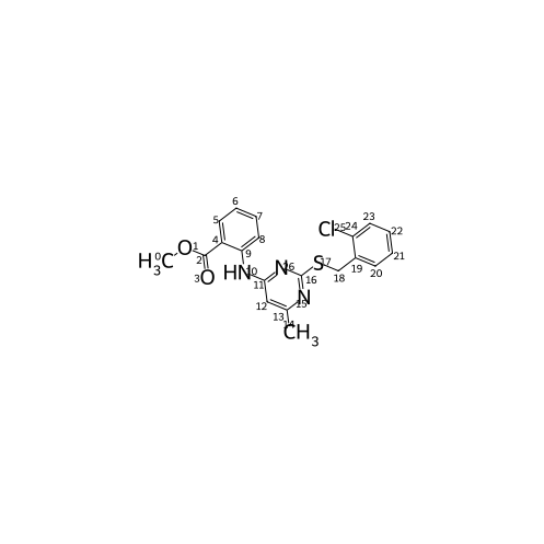 COC(=O)c1ccccc1Nc1cc(C)nc(SCc2ccccc2Cl)n1